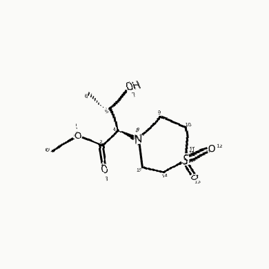 COC(=O)[C@@H]([C@H](C)O)N1CCS(=O)(=O)CC1